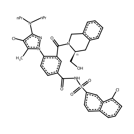 CCCN(CCC)c1nn(-c2ccc(C(=O)NS(=O)(=O)c3ccc4cccc(Cl)c4c3)cc2C(=O)N2Cc3ccccc3C[C@H]2CO)c(C)c1Cl